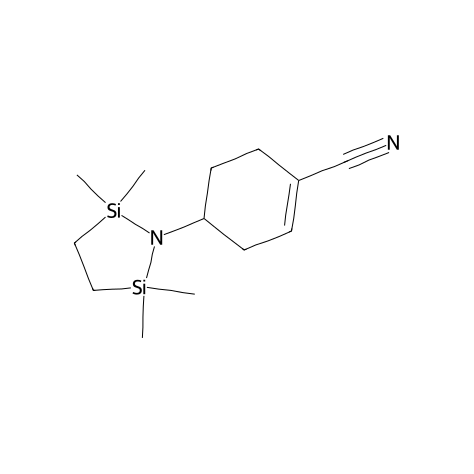 C[Si]1(C)CC[Si](C)(C)N1C1CC=C(C#N)CC1